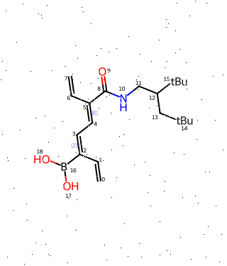 C=C/C(=C\C=C(/C=C)C(=O)NCC(CC(C)(C)C)C(C)(C)C)B(O)O